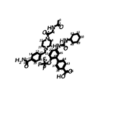 CC(=O)NCC(=O)N1CCN(Cc2ccc(C(N)=O)cc2)CC1.O=C(Nc1ccc(OC(F)(F)F)c(-c2ccc(C(=O)O)cc2)c1)NC1CCCCC1